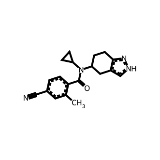 Cc1cc(C#N)ccc1C(=O)N(C1CC1)C1CCc2n[nH]cc2C1